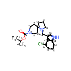 O=C(OC(C(F)(F)F)C(F)(F)F)N1CCC2(CCCN2Cc2c[nH]c3cccc(Cl)c23)CC1